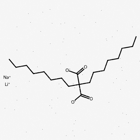 CCCCCCCCC(CCCCCCCC)(C(=O)[O-])C(=O)[O-].[Li+].[Na+]